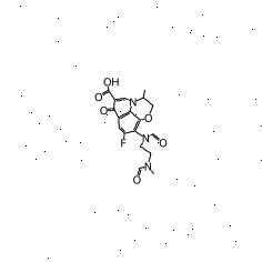 CC1COc2c(N(C=O)CCN(C)C=O)c(F)cc3c(=O)c(C(=O)O)cn1c23